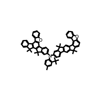 Cc1ccc(N(c2ccc3c(c2)C(C)(C)c2cc4c(cc2-3)C(C)(C)c2ccc3oc5ccccc5c3c2-4)c2ccc3c(c2)C(C)(C)c2c4c(c5c(oc6ccccc65)c2-3)-c2ccccc2C4(C)C)c(C(C)(C)C)c1